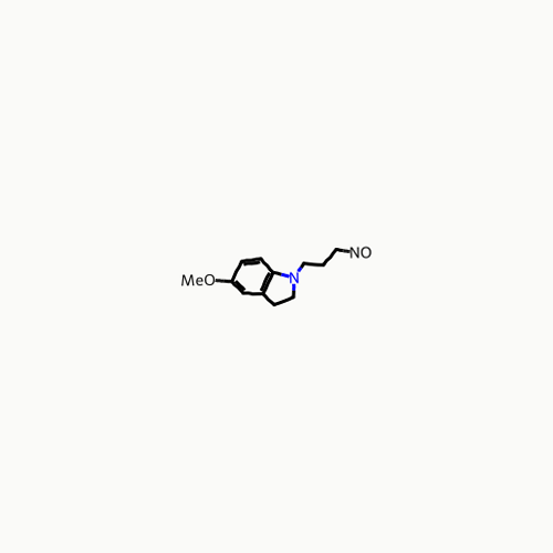 COc1ccc2c(c1)CCN2CCCN=O